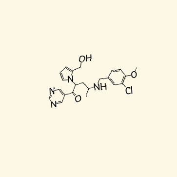 COc1ccc(CNC(C)CC(C(=O)c2cncnc2)n2cccc2CO)cc1Cl